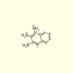 Nc1nc2ccccc2c(N)c1[N+](=O)[O-]